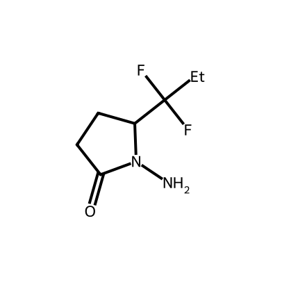 CCC(F)(F)C1CCC(=O)N1N